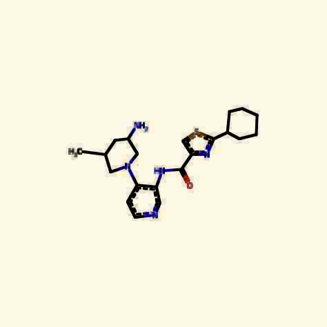 CC1CC(N)CN(c2ccncc2NC(=O)c2csc(C3CCCCC3)n2)C1